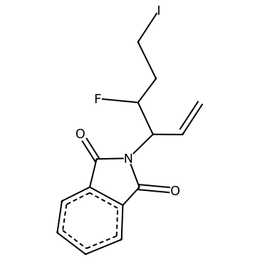 C=CC(C(F)CCI)N1C(=O)c2ccccc2C1=O